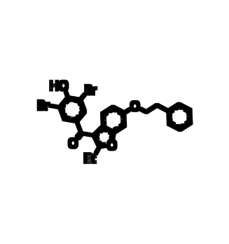 CCc1oc2cc(OCCc3ccccc3)ccc2c1C(=O)c1cc(Br)c(O)c(Br)c1